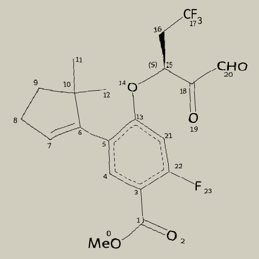 COC(=O)c1cc(C2=CCCC2(C)C)c(O[C@@H](CC(F)(F)F)C(=O)C=O)cc1F